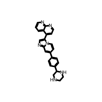 c1cnc2nccc(-c3cnc4cc(-c5ccc(C6CNCCN6)cc5)ccn34)c2c1